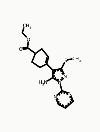 CCOC(=O)C1CC=C(c2c(SC)nn(-c3ncccn3)c2N)CC1